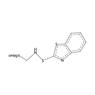 CCCCCCCCNSc1nc2ccccc2s1